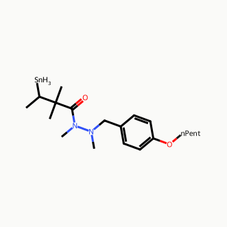 CCCCCOc1ccc(CN(C)N(C)C(=O)C(C)(C)[CH](C)[SnH3])cc1